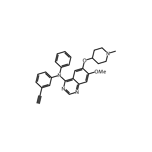 C#Cc1cccc(N(c2ccccc2)c2ncnc3cc(OC)c(OC4CCN(C)CC4)cc23)c1